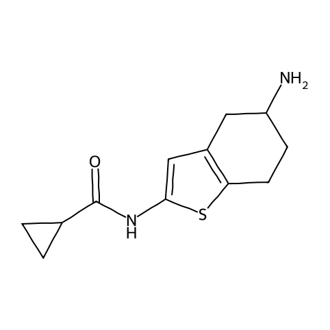 NC1CCc2sc(NC(=O)C3CC3)cc2C1